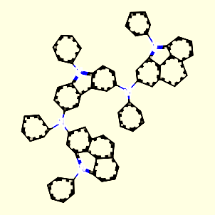 c1ccc(N(c2ccc3c(c2)c2cc(N(c4ccccc4)c4cc5ccc6cccc7c6c5c(c4)n7-c4ccccc4)ccc2n3-c2ccccc2)c2cc3ccc4cccc5c4c3c(c2)n5-c2ccccc2)cc1